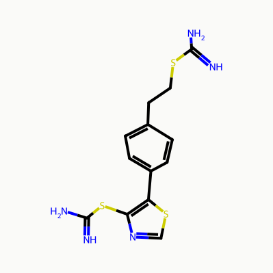 N=C(N)SCCc1ccc(-c2scnc2SC(=N)N)cc1